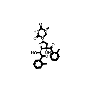 Cc1ccccc1C(=O)C(O)[C@H]1O[C@@H](N2CN(C)C(=O)NC2=O)C[C@@]1(O)C(=O)c1ccccc1C